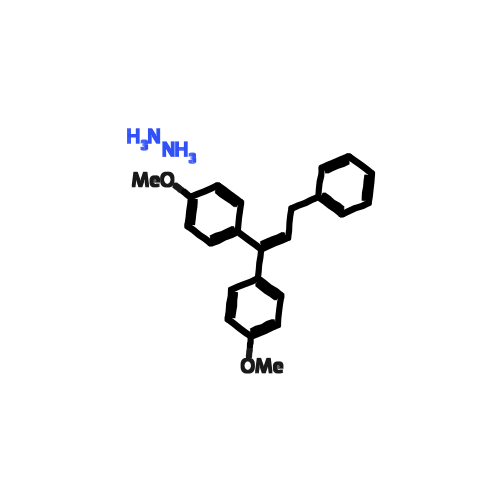 COc1ccc(C(=CCc2ccccc2)c2ccc(OC)cc2)cc1.N.N